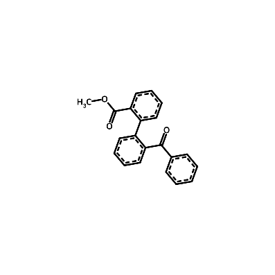 COC(=O)c1ccccc1-c1ccccc1C(=O)c1ccccc1